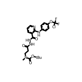 CN(CCC(=O)NNC(=O)c1cccnc1Nc1ccc(OC(F)(F)Cl)cc1)C(=O)OC(C)(C)C